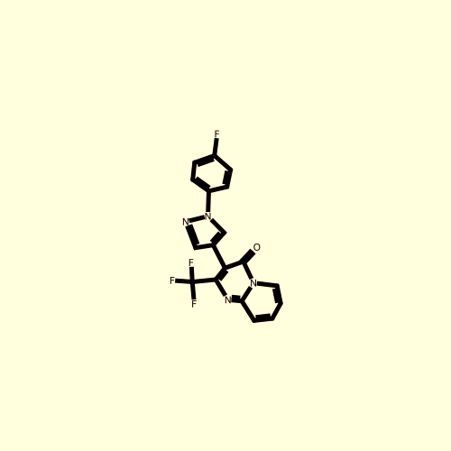 O=c1c(-c2cnn(-c3ccc(F)cc3)c2)c(C(F)(F)F)nc2ccccn12